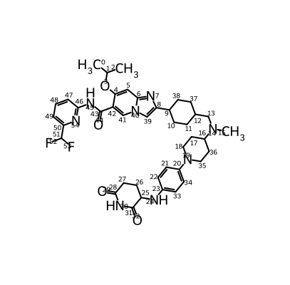 CC(C)Oc1cc2nc(C3CCC(CN(C)C4CCN(c5ccc(NC6CCC(=O)NC6=O)cc5)CC4)CC3)cn2cc1C(=O)Nc1cccc(C(F)F)n1